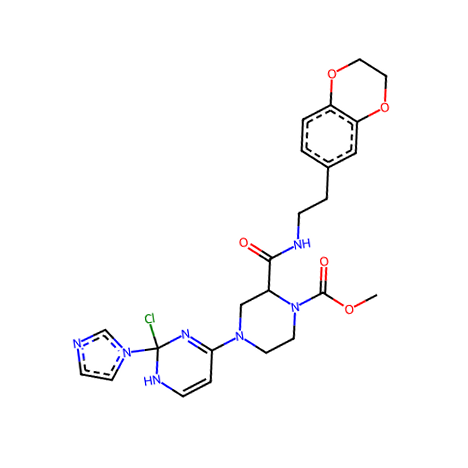 COC(=O)N1CCN(C2=NC(Cl)(n3ccnc3)NC=C2)CC1C(=O)NCCc1ccc2c(c1)OCCO2